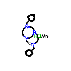 Cl.[Mn].c1ccc(CN2CCCN3CCN(CCCN(Cc4ccccc4)CC3)CC2)cc1